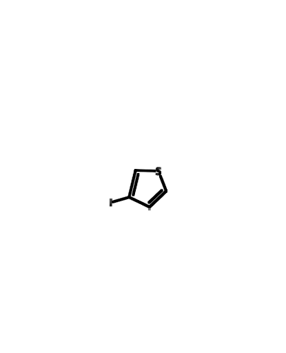 Ic1[c]csc1